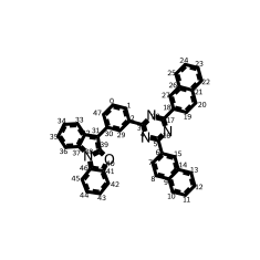 c1cc(-c2nc(-c3ccc4ccccc4c3)nc(-c3ccc4ccccc4c3)n2)cc(-c2c3ccccc3n3c2oc2ccccc23)c1